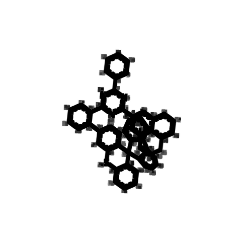 C1=Cc2cc(-c3nc(-c4ccccc4)nc(-c4ccccc4-c4ccc5c(c4)Sc4ccccc4C54c5ccccc5-c5ccccc54)n3)cc3cccc(c23)C1